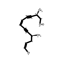 CC/C=C\C[C@H](C)C#C/C=C\C#C[C@@H](C)CC=O